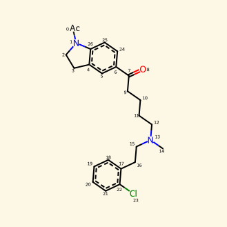 CC(=O)N1CCc2cc(C(=O)CCCCN(C)CCc3ccccc3Cl)ccc21